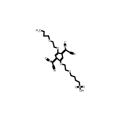 [C-]#[N+]/C(C#N)=c1/cc(OCCOCCCCS(=O)(=O)O)/c(=C(\C#N)[N+]#[C-])cc1OCCOCCCC